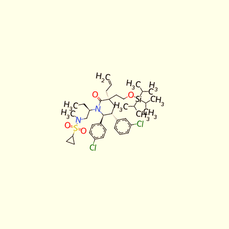 C=CC[C@]1(CCO[Si](C(C)C)(C(C)C)C(C)C)C[C@H](c2cccc(Cl)c2)[C@@H](c2ccc(Cl)cc2)N([C@H](CC)CN(C)S(=O)(=O)C2CC2)C1=O